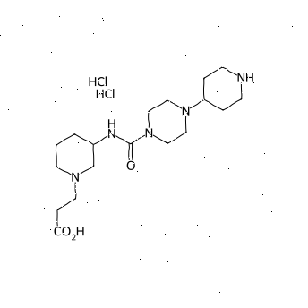 Cl.Cl.O=C(O)CCN1CCCC(NC(=O)N2CCN(C3CCNCC3)CC2)C1